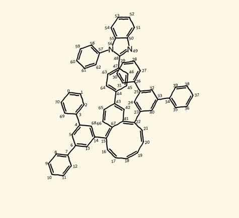 c1ccc(-c2cc(-c3ccccc3)cc(-c3ccccccc(-c4cc(-c5ccccc5)cc(-c5ccccc5)c4)c4cc(-c5ccc(-c6nc7ccccc7n6-c6ccccc6)cc5)ccc34)c2)cc1